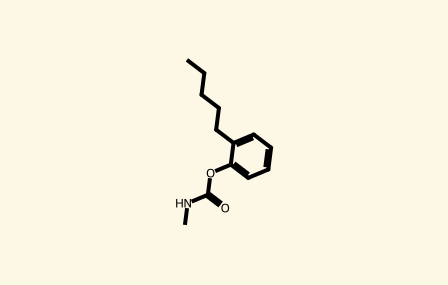 CCCCCc1ccccc1OC(=O)NC